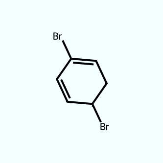 Br[C]1C=CC(Br)=CC1